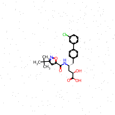 CC(C)(C)c1cc(C(=O)N[C@H](Cc2ccc(-c3cccc(Cl)c3)cc2)C[C@@H](O)C(=O)O)on1